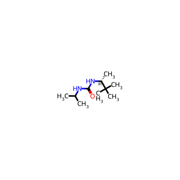 CC(C)NC(=O)N[C@H](C)C(C)(C)C